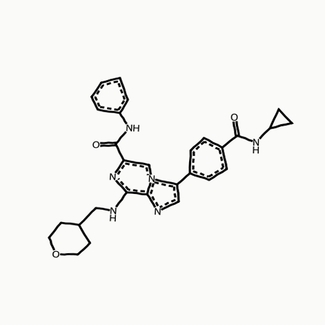 O=C(NC1CC1)c1ccc(-c2cnc3c(NCC4CCOCC4)nc(C(=O)Nc4ccccc4)cn23)cc1